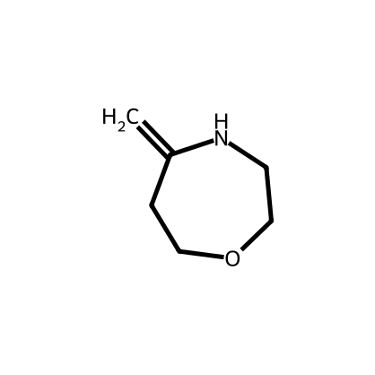 C=C1CCOCCN1